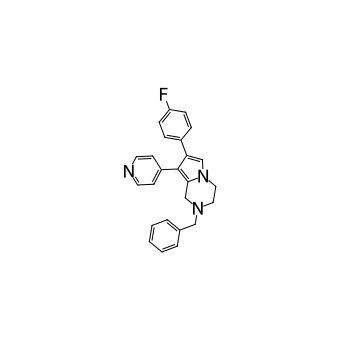 Fc1ccc(-c2cn3c(c2-c2ccncc2)CN(Cc2ccccc2)CC3)cc1